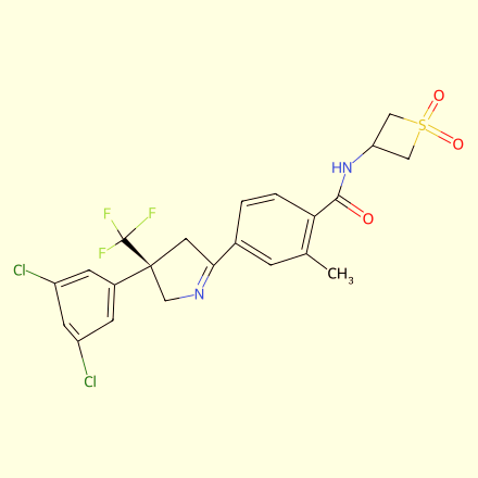 Cc1cc(C2=NC[C@@](c3cc(Cl)cc(Cl)c3)(C(F)(F)F)C2)ccc1C(=O)NC1CS(=O)(=O)C1